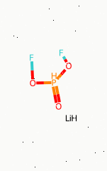 O=[PH](OF)OF.[LiH]